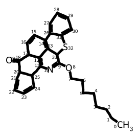 CCCCCCCCOC1=NC2=C3C4=C(C=CC3C(=O)C3C=CC=CC23)c2ccccc2SC14